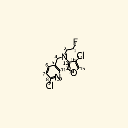 FCCN(Cc1ccc(Cl)nc1)c1cocc1Cl